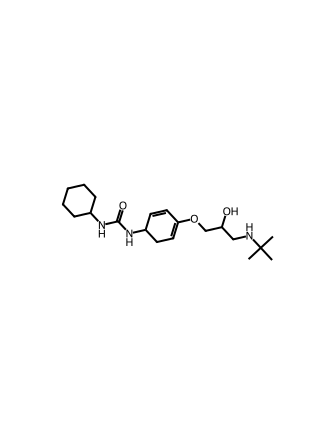 CC(C)(C)NCC(O)COC1=CCC(NC(=O)NC2CCCCC2)C=C1